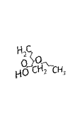 C=CCC(OCCCCC)C(=C)C(=O)O